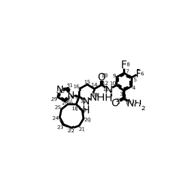 NC(=O)c1cc(F)c(F)cc1NC(=O)C1CCC(C2CCCCCCCC2)(n2ccnc2)NN1